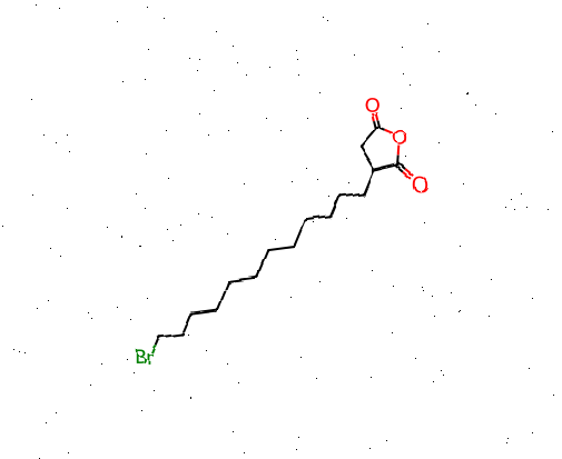 O=C1CC(CCCCCCCCCCCCBr)C(=O)O1